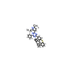 Cc1ccc(-c2nc(-c3ccccc3)nc(-c3ccc4c(c3)C3(c5ccccc5S4)c4ccccc4-c4ccccc43)n2)c(C)n1